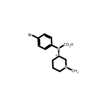 CN1CCC[C@@H](N(C(=O)O)c2ccc(Br)cc2)C1